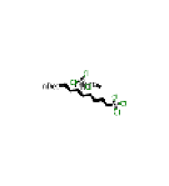 CCCCCCCC.CCCCCCCCCCCCCCCCCC[Si](Cl)(Cl)Cl.Cl[SiH](Cl)Cl